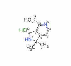 CC1(C)NCc2c1ccnc2C(=O)O.Cl